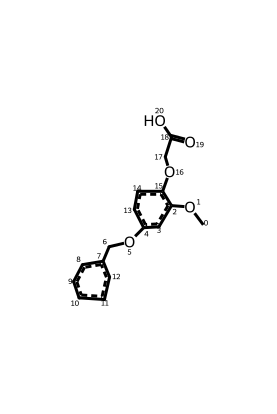 COc1cc(OCc2ccccc2)ccc1OCC(=O)O